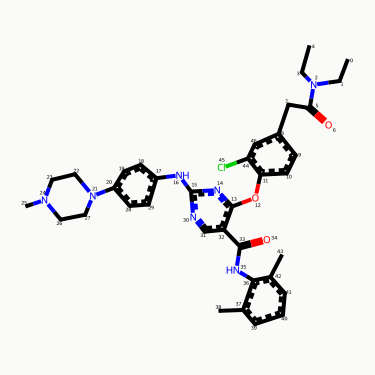 CCN(CC)C(=O)Cc1ccc(Oc2nc(Nc3ccc(N4CCN(C)CC4)cc3)ncc2C(=O)Nc2c(C)cccc2C)c(Cl)c1